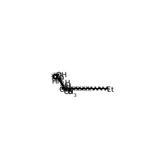 CCC=CCC=CCC=CCC=CCC=CCC=CCCC(=O)NC(C)C(=O)NCCNC(=O)c1ccccc1O